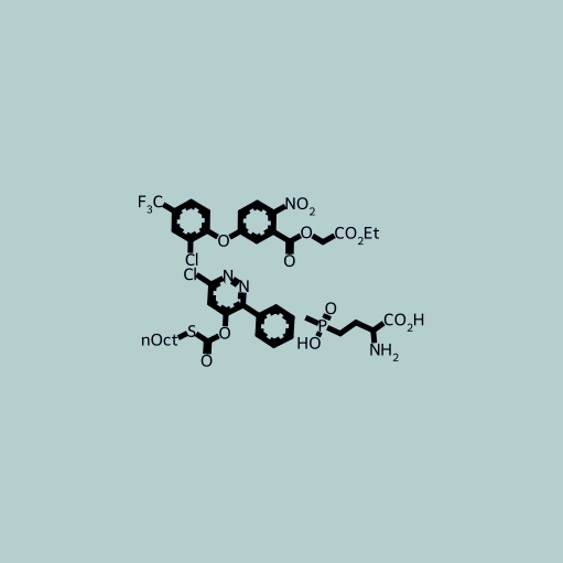 CCCCCCCCSC(=O)Oc1cc(Cl)nnc1-c1ccccc1.CCOC(=O)COC(=O)c1cc(Oc2ccc(C(F)(F)F)cc2Cl)ccc1[N+](=O)[O-].CP(=O)(O)CCC(N)C(=O)O